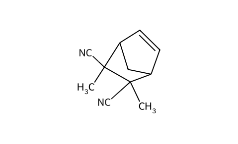 CC1(C#N)C2C=CC(C2)C1(C)C#N